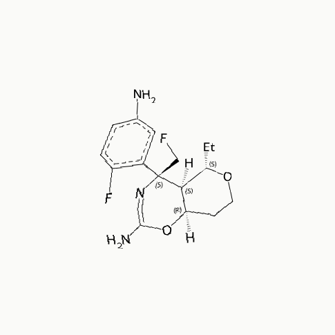 CC[C@@H]1OCC[C@H]2OC(N)=N[C@](CF)(c3cc(N)ccc3F)[C@@H]12